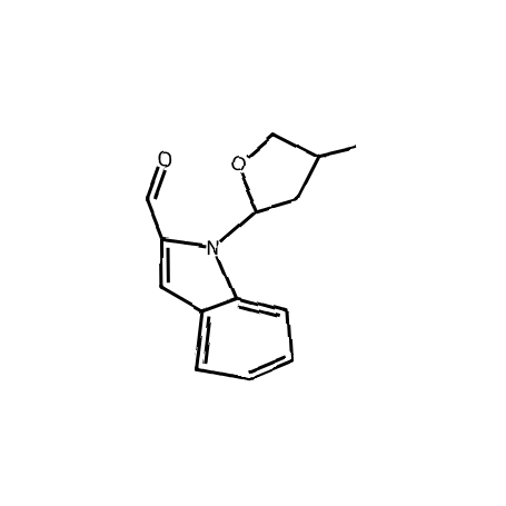 C[C]1COC(n2c(C=O)cc3ccccc32)C1